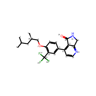 CC(C)C[C@@H](C)COc1ccc(-c2ccnc3c2C(=O)NC3)cc1C(F)(F)F